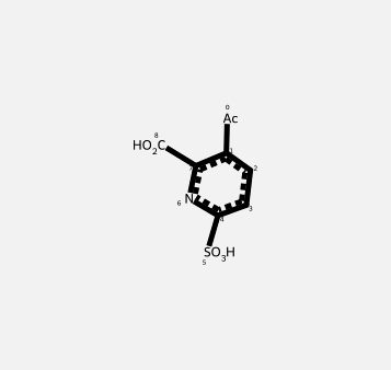 CC(=O)c1ccc(S(=O)(=O)O)nc1C(=O)O